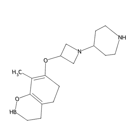 CC1=C(OC2CN(C3CCNCC3)C2)CCC2=C1OBCC2